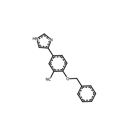 N#Cc1cc(-c2c[nH]cn2)ccc1OCc1ccccc1